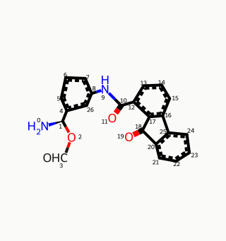 N[C@H](OC=O)c1cccc(NC(=O)c2cccc3c2C(=O)c2ccccc2-3)c1